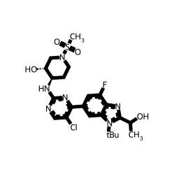 CC(O)c1nc2c(F)cc(-c3nc(N[C@@H]4CCN(S(C)(=O)=O)C[C@H]4O)ncc3Cl)cc2n1C(C)(C)C